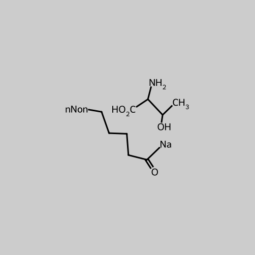 CC(O)C(N)C(=O)O.CCCCCCCCCCCCC[C](=O)[Na]